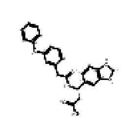 O=C(O)C[C@H](NC(=O)Cc1cccc(Oc2ccccc2)c1)c1ccc2c(c1)OCO2